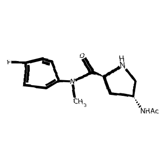 CC(=O)N[C@H]1CN[C@H](C(=O)N(C)c2ccc(F)cc2)C1